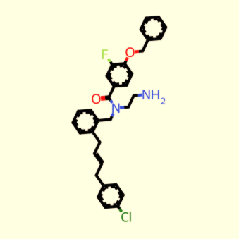 NCCN(Cc1ccccc1C/C=C/Cc1ccc(Cl)cc1)C(=O)c1ccc(OCc2ccccc2)c(F)c1